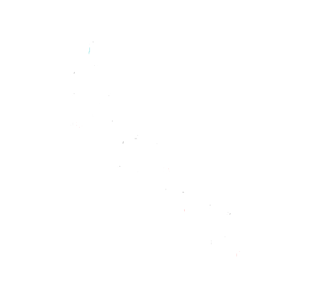 COCc1ccc(OCCOc2ccc(/C=C/C(=O)c3ccc(F)cc3)cc2)cc1